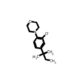 CCC(C)(C)c1ccc(N2CCOCC2)c(Cl)c1